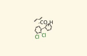 C=CC=C.CC(=O)O.Clc1cccc(-c2ccccc2)c1Cl